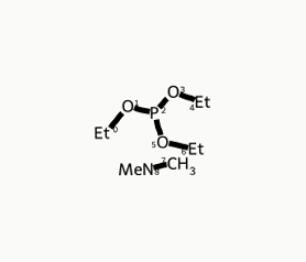 CCOP(OCC)OCC.CNC